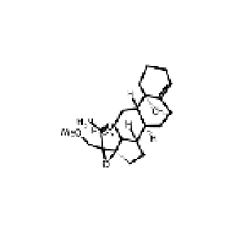 COCC1(C(N)=O)O[C@@]12CC[C@H]1[C@@H]3CCC4=CCCC[C@]4(C)[C@H]3CC[C@@]12C